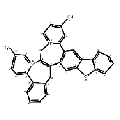 Cc1cc[n+]2c(c1)-c1cc3c(cc1C1=C(C2)[n+]2cc(C)ccc2-c2ccccc2C1)oc1ccccc13